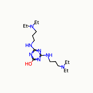 CCN(CC)CCCNc1nc(O)nc(NCCCN(CC)CC)n1